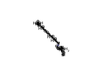 CN(C/C=C/C(=O)N1CCC[C@@H](n2nc(-c3ccc(Oc4ccccc4)cc3)c3c(N)ncnc32)C1)CCCCNC(=O)CCCC(=O)NCCCOCCOCCOCCCNC(=O)CCCC[C@@H]1SC[C@@H]2NC(=O)N[C@@H]21